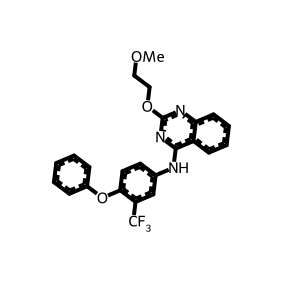 COCCOc1nc(Nc2ccc(Oc3ccccc3)c(C(F)(F)F)c2)c2ccccc2n1